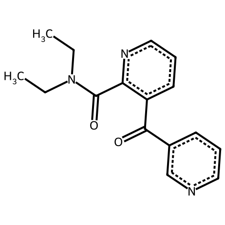 CCN(CC)C(=O)c1ncccc1C(=O)c1cccnc1